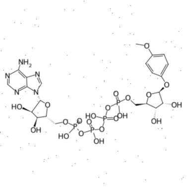 COc1ccc(O[C@@H]2O[C@H](COP(=O)(O)OP(=O)(O)OP(=O)(O)OP(=O)(O)OC[C@H]3O[C@@H](n4cnc5c(N)ncnc54)[C@H](O)[C@@H]3O)[C@@H](O)[C@H]2O)cc1